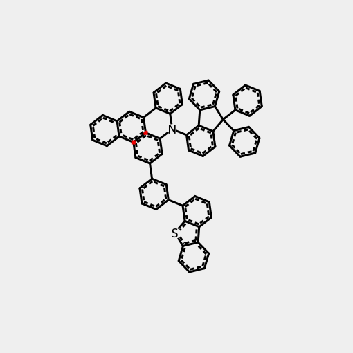 c1ccc(C2(c3ccccc3)c3ccccc3-c3c(N(c4cccc(-c5cccc(-c6cccc7c6sc6ccccc67)c5)c4)c4ccccc4-c4ccc5ccccc5c4)cccc32)cc1